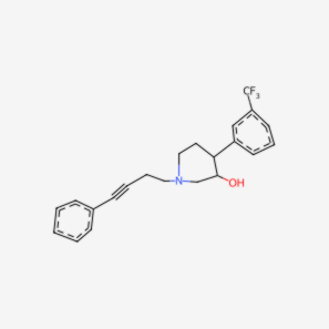 OC1CN(CCC#Cc2ccccc2)CCC1c1cccc(C(F)(F)F)c1